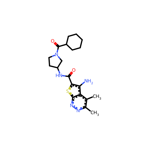 Cc1nnc2sc(C(=O)NC3CCN(C(=O)C4CCCCC4)C3)c(N)c2c1C